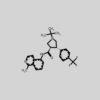 Cc1nccc2c(NC(=O)[C@H]3CN(C(C)(C)C)C[C@@H]3c3ccc(C(F)(F)F)cc3)cccc12